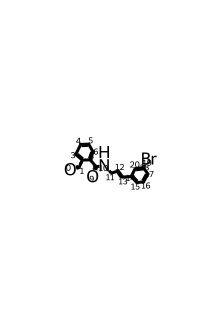 O=Cc1ccccc1C(=O)NC/C=C/c1cccc(Br)c1